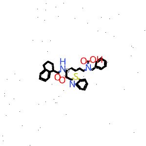 O=C(N[C@@H](CCCCN(Cc1ccccc1)C(=O)O)C(=O)c1nc2ccccc2s1)C1CCCc2ccccc21